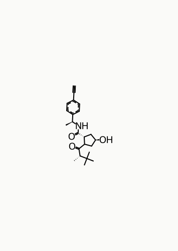 C#Cc1ccc([C@H](C)NC(=O)[C@@H]2C[C@@H](O)CC2C(=O)[C@@H](C)C(C)(C)C)cc1